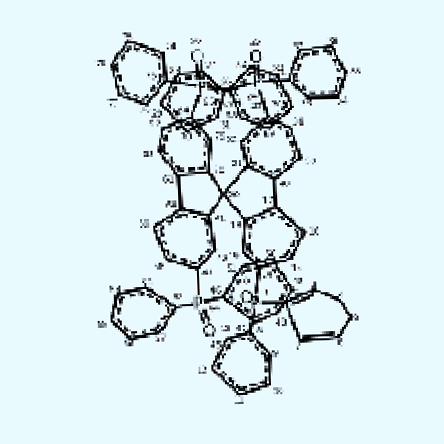 O=P(C1=CCCC=C1)(c1ccccc1)c1ccc2c(c1)C1(c3cc(P(=O)(c4ccccc4)c4ccccc4)ccc3-2)c2cc(P(=O)(c3ccccc3)c3ccccc3)ccc2-c2ccc(P(=O)(c3ccccc3)c3ccccc3)cc21